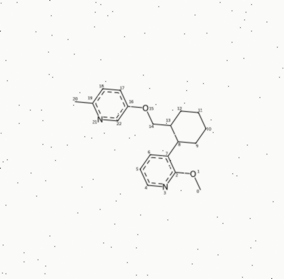 COc1ncccc1C1CCCCC1COc1ccc(C)nc1